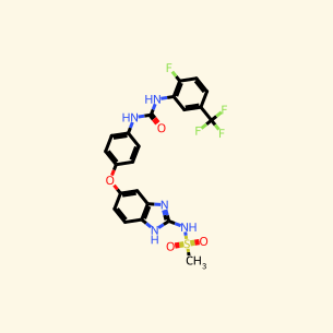 CS(=O)(=O)Nc1nc2cc(Oc3ccc(NC(=O)Nc4cc(C(F)(F)F)ccc4F)cc3)ccc2[nH]1